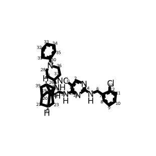 N#Cc1cnc(NCc2ccccc2Cl)nc1NC[C@]12CC3C[C@H](C1)[C@@H](NC1CCN(c4ccccc4)CC1)[C@@H](C3)C2